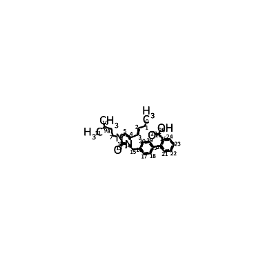 CC/C=C/c1cn(CCC(C)C)c(=O)n1Cc1ccc(-c2ccccc2C(=O)O)cc1